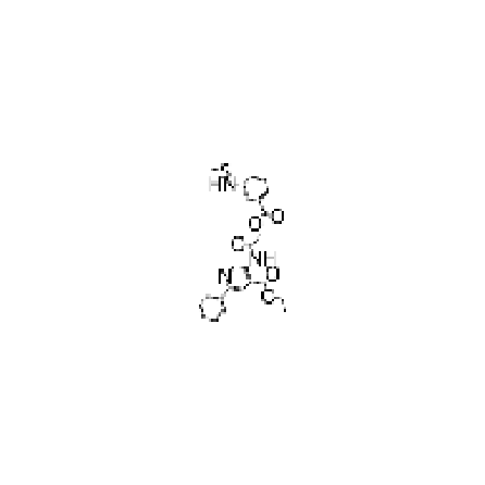 CCOC(=O)c1cc(-c2ccccc2)ncc1NC(=O)COC(=O)c1cccc(NSC)c1